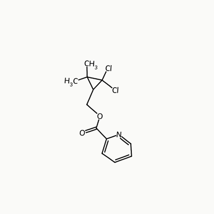 CC1(C)C(COC(=O)c2ccccn2)C1(Cl)Cl